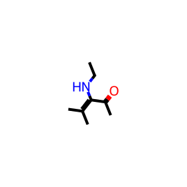 CCNC(C(C)=O)=C(C)C